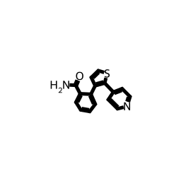 NC(=O)c1ccccc1-c1ccsc1-c1ccncc1